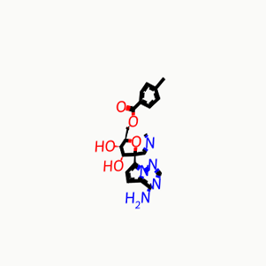 C/N=C\[C@@]1(c2ccc3c(N)ncnn23)O[C@H](COC(=O)c2ccc(C)cc2)[C@@H](O)[C@H]1O